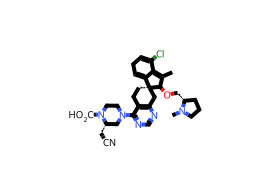 CC1=C2C(Cl)=CCC=C2[C@@]2(CCc3c(ncnc3N3CCN(C(=O)O)[C@@H](CC#N)C3)C2)C1OC[C@@H]1CCCN1C